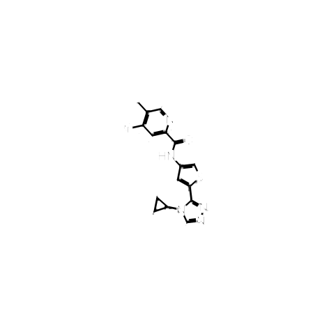 Cc1cnc(C(=O)Nc2csc(-c3nncn3C3CC3)c2)cc1Br